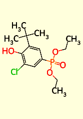 CCOP(=O)(OCC)c1cc(Cl)c(O)c(C(C)(C)C)c1